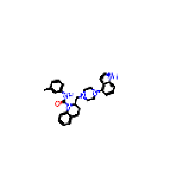 Cc1cccc(NC(=O)N2c3ccccc3CCC2CN2CCN(c3cccc4[nH]ccc34)CC2)c1